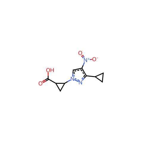 O=C(O)C1CC1n1cc([N+](=O)[O-])c(C2CC2)n1